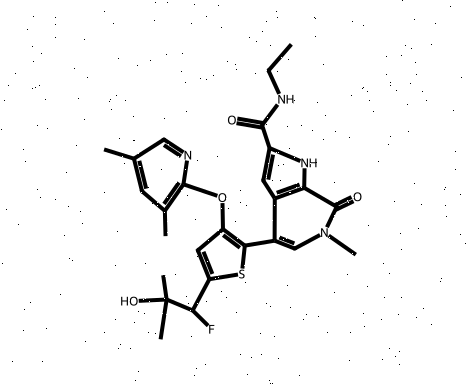 CCNC(=O)c1cc2c(-c3sc(C(F)C(C)(C)O)cc3Oc3ncc(C)cc3C)cn(C)c(=O)c2[nH]1